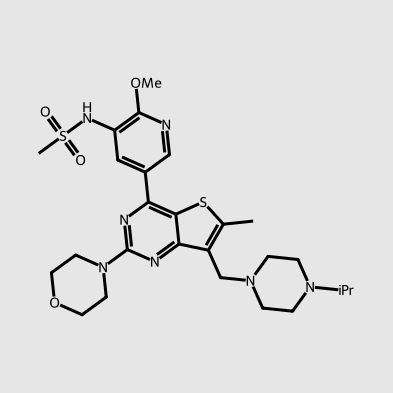 COc1ncc(-c2nc(N3CCOCC3)nc3c(CN4CCN(C(C)C)CC4)c(C)sc23)cc1NS(C)(=O)=O